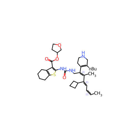 C\C=C/C=C(/C(C)=C(\CNC(=O)Nc1sc2c(c1C(=O)OC1CCOC1)CCCC2)C1=C(CCCC)CNCC1)C1CCC1